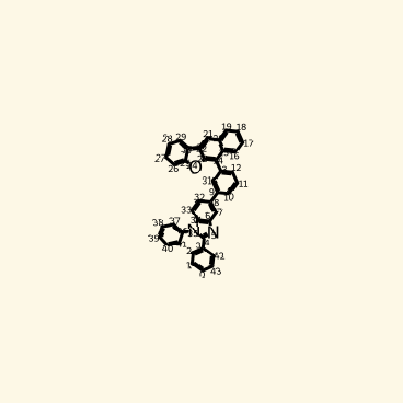 c1ccc(-c2nc3cc(-c4cccc(-c5c6ccccc6cc6c5oc5ccccc56)c4)ccc3n2-c2ccccc2)cc1